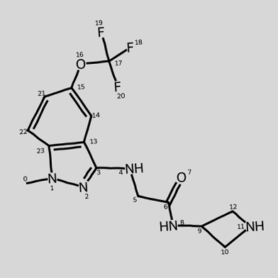 Cn1nc(NCC(=O)NC2CNC2)c2cc(OC(F)(F)F)ccc21